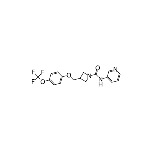 O=C(Nc1cccnc1)N1CC(COc2ccc(OC(F)(F)F)cc2)C1